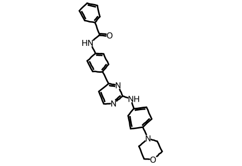 O=C(Nc1ccc(-c2ccnc(Nc3ccc(N4CCOCC4)cc3)n2)cc1)c1ccccc1